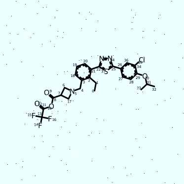 CCc1c(CN2CC(C(=O)OC(=O)C(F)(F)F)C2)cccc1-c1nnc(-c2ccc(OC(C)C)c(Cl)c2)s1